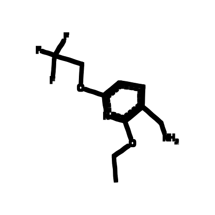 CCOc1nc(OCC(F)(F)F)ccc1CN